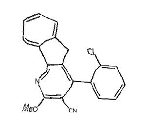 COc1nc2c(c(-c3ccccc3Cl)c1C#N)Cc1ccccc1-2